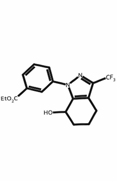 CCOC(=O)c1cccc(-n2nc(C(F)(F)F)c3c2C(O)CCC3)c1